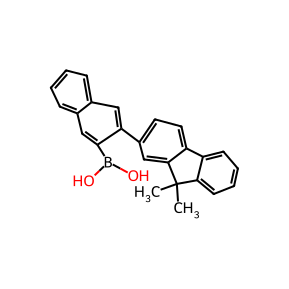 CC1(C)c2ccccc2-c2ccc(-c3cc4ccccc4cc3B(O)O)cc21